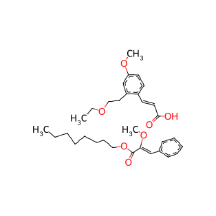 CCCCCCCCOC(=O)C(=Cc1ccccc1)OC.CCOCCc1cc(OC)ccc1C=CC(=O)O